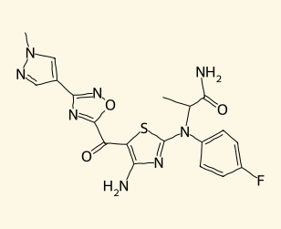 CC(C(N)=O)N(c1ccc(F)cc1)c1nc(N)c(C(=O)c2nc(-c3cnn(C)c3)no2)s1